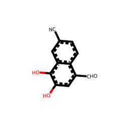 N#Cc1ccc2c(C=O)cc(O)c(O)c2c1